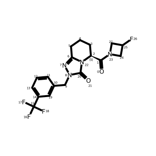 O=C([C@@H]1CCCc2nn(Cc3cccc(C(F)(F)F)c3)c(=O)n21)N1CC(F)C1